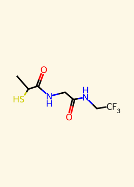 CC(S)C(=O)NCC(=O)NCC(F)(F)F